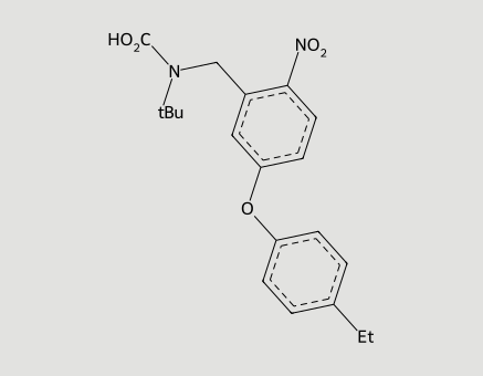 CCc1ccc(Oc2ccc([N+](=O)[O-])c(CN(C(=O)O)C(C)(C)C)c2)cc1